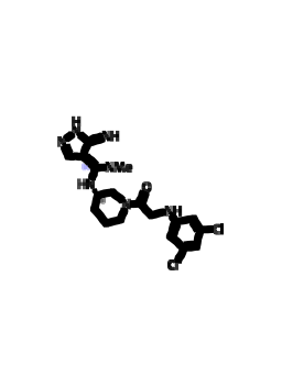 CN/C(N[C@H]1CCCN(C(=O)CNc2cc(Cl)cc(Cl)c2)C1)=C1/C=NNC1=N